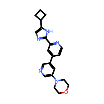 c1cc(-c2cncc(N3CCOCC3)c2)cc(-c2ncc(C3CCC3)[nH]2)n1